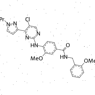 COc1ccccc1CNC(=O)c1ccc(Nc2ncc(Cl)c(-c3ccn(C(C)C)n3)n2)c(OC)c1